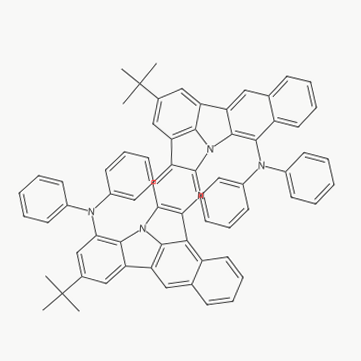 CC(C)(C)c1cc(N(c2ccccc2)c2ccccc2)c2c(c1)c1cc3ccccc3c3c4nc5c(cc4n2c13)c1cc(C(C)(C)C)cc2c3cc4ccccc4c(N(c4ccccc4)c4ccccc4)c3n5c12